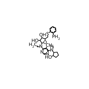 C=CN(c1ncnc(NC2CCCC2O)c1C)C1OC(CSc2ccccc2P)C(O)C1O